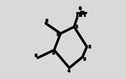 CCCC1CCCC(C)C1C